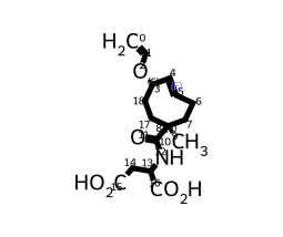 C=CO[C@@H]1/C=C/CC[C@](C)(C(=O)NC(CC(=O)O)C(=O)O)CC1